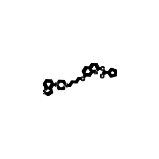 O=C(Oc1ccc2ccc(OCCCCN3CCN(c4cccc5sccc45)CC3)cc2n1)C1CCCC1